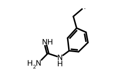 [CH2]Cc1cccc(NC(=N)N)c1